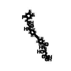 O=C(C[C@H](O)CNC(=O)c1ccc(C#Cc2ccc(NC(=O)CNCc3cc(F)c(F)cc3F)cc2)cc1)NO